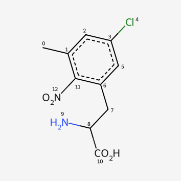 Cc1cc(Cl)cc(CC(N)C(=O)O)c1[N+](=O)[O-]